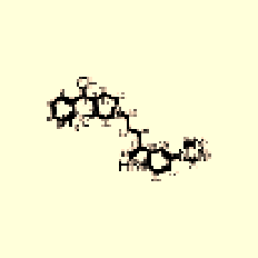 CC1=C(C(C)c2ccccc2)CCN(CCCc2c[nH]c3ccc(-n4cnnc4)cc23)C1